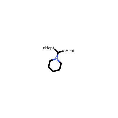 CCCCCCCC(CCCCCCC)N1CCCCC1